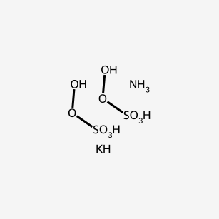 N.O=S(=O)(O)OO.O=S(=O)(O)OO.[KH]